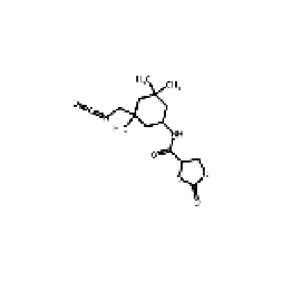 CC1(C)CC(NC(=O)C2COC(=O)O2)CC(C)(CN=C=O)C1